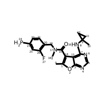 Cc1oc2ncnc(NC3(C)CC3)c2c1C(=O)N(I)Cc1ccc(P)cc1F